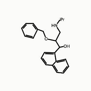 CC(C)NCC(OCc1ccccc1)C(O)c1cccc2ccccc12